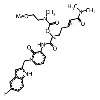 COCCN(C)C(=O)O[C@@H](CC/C=C/C(=O)N(C)C)C(=O)Nc1cccn(Cc2cc3cc(F)ccc3[nH]2)c1=O